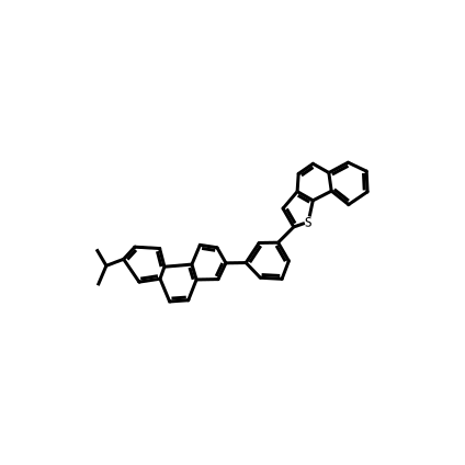 CC(C)c1ccc2c(ccc3cc(-c4cccc(-c5cc6ccc7ccccc7c6s5)c4)ccc32)c1